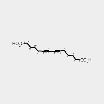 O=C(O)CCCCC#CC#CCCCCC(=O)O